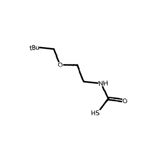 CC(C)(C)COCCNC(=O)S